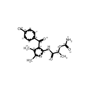 Cc1sc(NC(=O)[C@H](C)OC(N)=O)c(C(=O)c2ccc(Cl)cc2)c1C